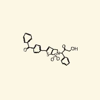 O=C(c1ccccc1)c1ccc(-c2cc3c(s2)S(=O)(=O)N(C(C(=O)CO)c2ccccc2)C3)cc1